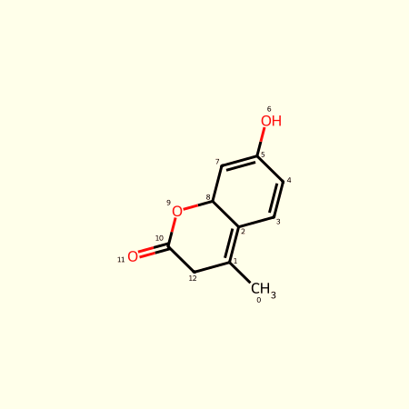 CC1=C2C=CC(O)=CC2OC(=O)C1